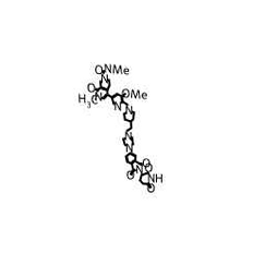 CNC(=O)N1CCc2c(-c3cnc(CN4CCC(CCN5CCN(c6ccc7c(c6)C(=O)N(C6CCC(=O)NC6=O)C7=O)CC5)CC4)c(OC)c3)cn(C)c(=O)c2C1